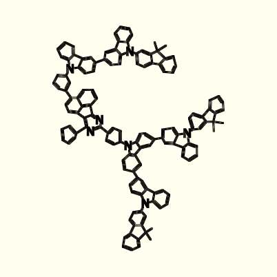 CC1(C)c2ccccc2-c2ccc(-n3c4ccccc4c4cc(-c5ccc6c(c5)c5ccccc5n6-c5cccc(-c6ccc7c8c(cccc68)-c6nc(-c8ccc(-n9c%10ccc(-c%11ccc%12c(c%11)c%11ccccc%11n%12-c%11ccc%12c(c%11)C(C)(C)c%11ccccc%11-%12)cc%10c%10cc(-c%11ccc%12c(c%11)c%11ccccc%11n%12-c%11ccc%12c(c%11)C(C)(C)c%11ccccc%11-%12)ccc%109)cc8)nc(-c8ccccc8)c6-7)c5)ccc43)cc21